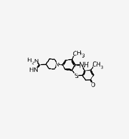 CC1=CC(=O)CC2=C1Nc1c(C)cc(N3CCC(C(=N)N)CC3)cc1S2